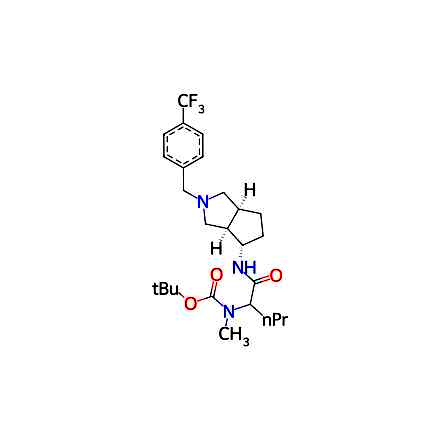 CCCC(C(=O)N[C@H]1CC[C@@H]2CN(Cc3ccc(C(F)(F)F)cc3)C[C@@H]21)N(C)C(=O)OC(C)(C)C